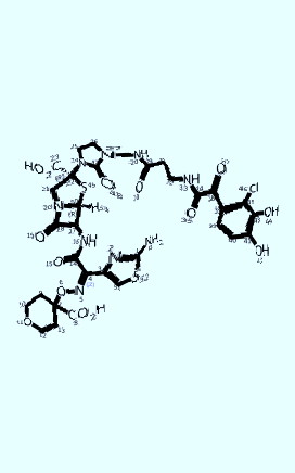 Nc1nc(/C(=N/OC2(C(=O)O)CCOCC2)C(=O)NC2C(=O)N3C[C@@](C(=O)O)(N4CCN(NC(=O)CCNC(=O)C(=O)c5ccc(O)c(O)c5Cl)C4=O)S[C@H]23)cs1